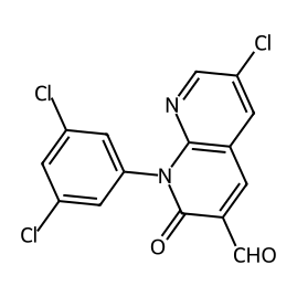 O=Cc1cc2cc(Cl)cnc2n(-c2cc(Cl)cc(Cl)c2)c1=O